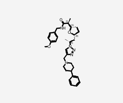 COc1ccc(CNC(=O)[C@@H](C)[C@@H]2CC[C@H](C[C@@H](C)n3cc(CN4CCC(c5ccccc5)CC4)nn3)O2)cc1